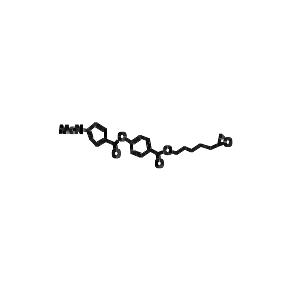 CNc1ccc(C(=O)Oc2ccc(C(=O)OCCCCCC3CO3)cc2)cc1